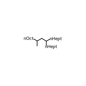 CCCCCCCCC(C)CC(CCCCCCC)CCCCCCC